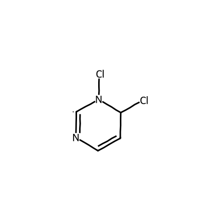 ClC1C=CN=[C]N1Cl